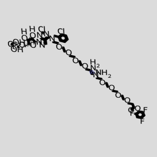 N/C(=C\N(N)CCOCCOCCOCCOCCC(=O)Oc1c(F)cc(F)cc1F)COCCOCCOCCOCCN(Cc1ccccc1Cl)c1nc(Cl)nc2c1cnn2[C@@H]1O[C@H](COCP(=O)(O)O)[C@@H](O)[C@H]1O